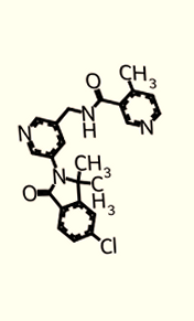 Cc1ccncc1C(=O)NCc1cncc(N2C(=O)c3ccc(Cl)cc3C2(C)C)c1